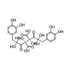 O=C(O)[C@@](O)(C(=O)C(O)(O)Cc1ccc(O)c(O)c1)[C@@](O)(C(=O)O)C(=O)C(O)(O)Cc1ccc(O)c(O)c1